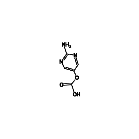 Nc1ncc(OC(=O)O)cn1